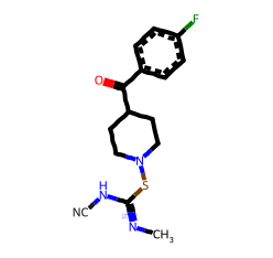 C/N=C(/NC#N)SN1CCC(C(=O)c2ccc(F)cc2)CC1